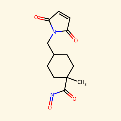 CC1(C(=O)N=O)CCC(CN2C(=O)C=CC2=O)CC1